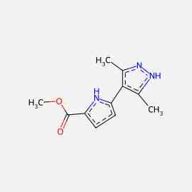 COC(=O)c1ccc(-c2c(C)n[nH]c2C)[nH]1